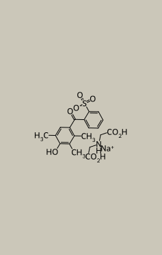 Cc1cc(C(=O)c2ccccc2S(=O)(=O)[O-])c(C)c(C)c1O.O=C(O)CNCC(=O)O.[Na+]